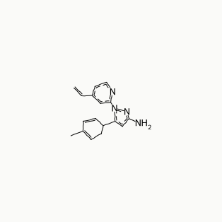 C=Cc1ccnc(-n2nc(N)cc2C2C=CC(C)=CC2)c1